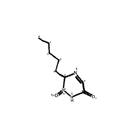 CCCCCC1N=CC(=O)N[N+]1=O